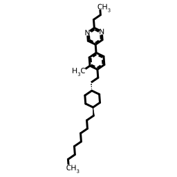 CCCCCCCCC[C@H]1CC[C@H](CCc2ccc(-c3cnc(CCC)nc3)cc2C)CC1